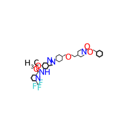 COc1cc2nn([C@H]3CC[C@H](COCCC4CCN(C(=O)OCc5ccccc5)CC4)CC3)cc2cc1NC(=O)c1cccc(C(F)(F)F)n1